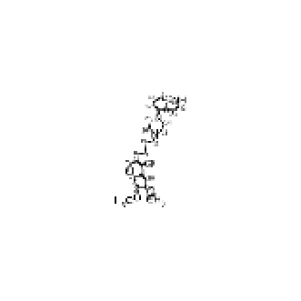 COc1cc2occ(CCCCN3CCN(c4cccc5[nH]ccc45)CC3)c(=O)c2cc1OC